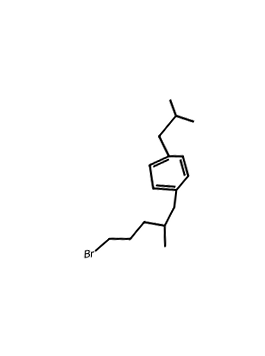 CC(C)Cc1ccc(CC(C)CCCBr)cc1